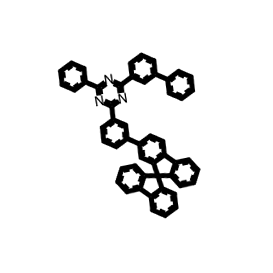 c1ccc(-c2cccc(-c3nc(-c4ccccc4)nc(-c4cccc(-c5ccc6c(c5)C5(c7ccccc7-c7ccccc75)c5ccccc5-6)c4)n3)c2)cc1